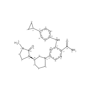 CN1CCN([C@@H]2CCCN(c3cnc(C(N)=O)c(Nc4ccc(C5CC5)cc4)n3)C2)C1=O